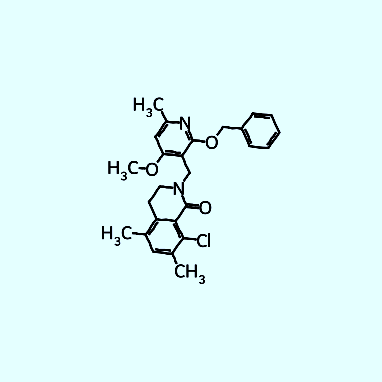 COc1cc(C)nc(OCc2ccccc2)c1CN1CCc2c(C)cc(C)c(Cl)c2C1=O